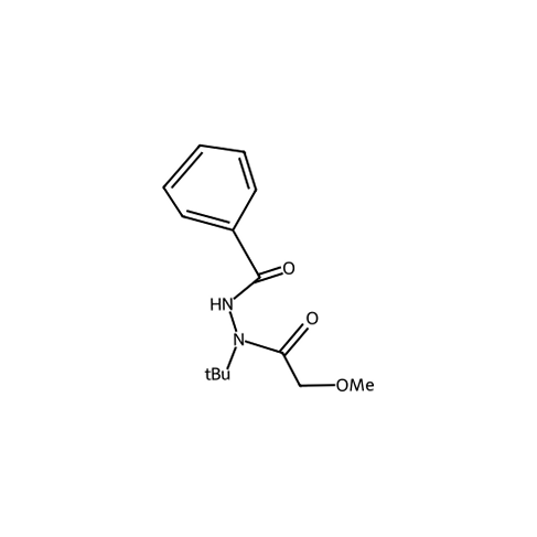 COCC(=O)N(NC(=O)c1ccccc1)C(C)(C)C